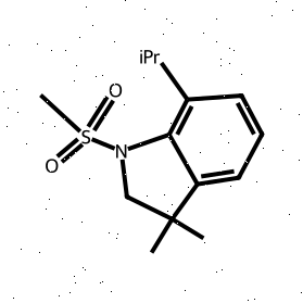 CC(C)c1cccc2c1N(S(C)(=O)=O)CC2(C)C